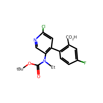 CCN(C(=O)OC(C)(C)C)c1cnc(Cl)cc1-c1ccc(F)cc1C(=O)O